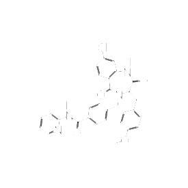 COc1ccc(CC2C(=O)Nc3cc(Cl)ccc3C(=O)N2Cc2ccc(C(=O)Nc3ccccn3)cc2)cc1